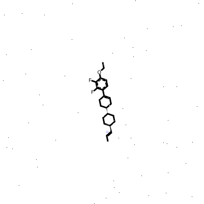 C/C=C/[C@H]1CC[C@H](C2CC=C(c3ccc(OCC)c(F)c3F)CC2)CC1